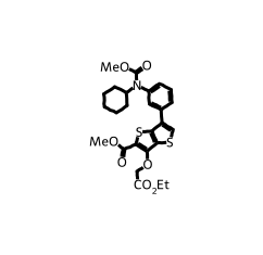 CCOC(=O)COc1c(C(=O)OC)sc2c(-c3cccc(N(C(=O)OC)C4CCCCC4)c3)csc12